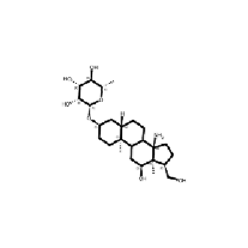 C[C@@H]1O[C@@H](O[C@@H]2CC[C@]3(C)C4C[C@H](O)[C@]5(C)[C@H](CO)CC[C@@]5(N)C4CC[C@H]3C2)[C@H](O)[C@H](O)[C@H]1O